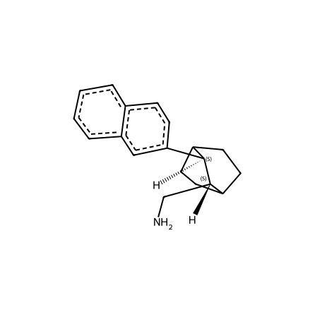 NC[C@H]1C2CCC(CC2)[C@@H]1c1ccc2ccccc2c1